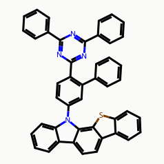 c1ccc(-c2nc(-c3ccccc3)nc(-c3ccc(-n4c5ccccc5c5ccc6c7ccccc7sc6c54)cc3-c3ccccc3)n2)cc1